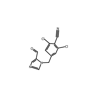 N#Cc1c(Cl)cc(Cn2cncc2C=O)cc1Cl